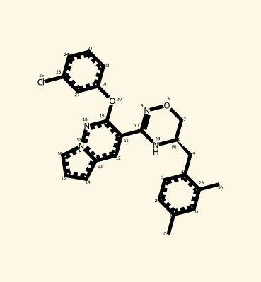 Cc1ccc(C[C@@H]2CON=C(c3cc4cccn4nc3Oc3cccc(Cl)c3)N2)c(C)c1